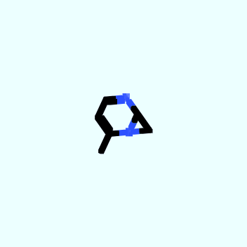 CC1=CC=NC2CN12